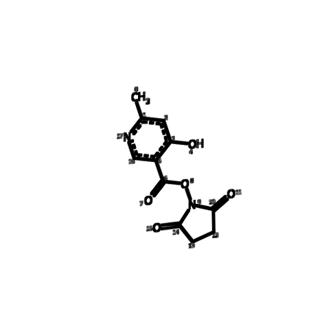 Cc1cc(O)c(C(=O)ON2C(=O)CCC2=O)cn1